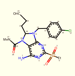 CCS(=O)(=O)c1nc(N)c2c(n1)N(Cc1ccc(Cl)cc1)C(CCC=O)N2C(=O)NC